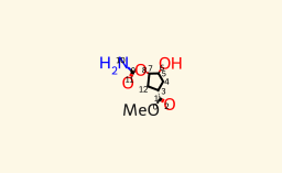 COC(=O)[C@H]1C[C@H](O)[C@H](OC(N)=O)C1